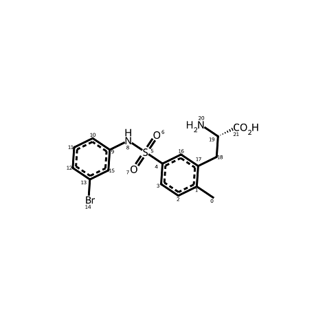 Cc1ccc(S(=O)(=O)Nc2cccc(Br)c2)cc1C[C@H](N)C(=O)O